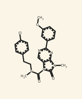 COc1cccc(-c2ncc3c(n2)n(C)c(=O)n3C(=O)N(C)CCc2ccc(Cl)cc2)c1